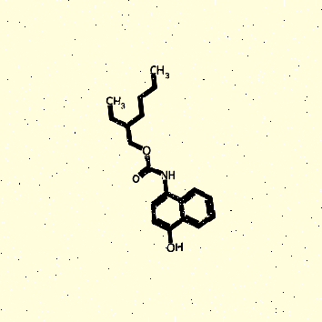 CCCCC(CC)COC(=O)Nc1ccc(O)c2ccccc12